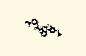 C=CC(=O)N1CCC[C@@H](NC(=O)c2sc3nccc4c3c2NC(=O)N4c2ccc(OC3CC3)cc2C)C1